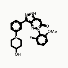 COc1cccc(F)c1-n1nc2c(-c3cccc(N4CCC(O)CC4)c3)n[nH]c2cc1=O